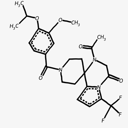 COc1cc(C(=O)N2CCC3(CC2)c2ccc(C(F)(F)F)n2C(=O)CN3C(C)=O)ccc1OC(C)C